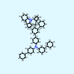 c1ccc(-c2ccc(N(c3ccc(-c4ccc5c(c4)-c4ccccc4C54c5ccccc5-n5c6ccccc6c6cccc4c65)cc3)c3cccc(-c4ccccc4)c3)cc2)cc1